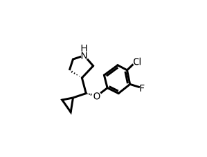 Fc1cc(O[C@H](C2CC2)[C@@H]2CCNC2)ccc1Cl